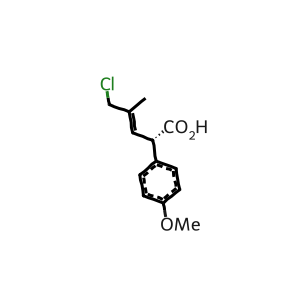 COc1ccc([C@H](/C=C(\C)CCl)C(=O)O)cc1